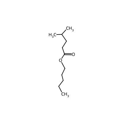 CCCCCOC(=O)CCC(C)C